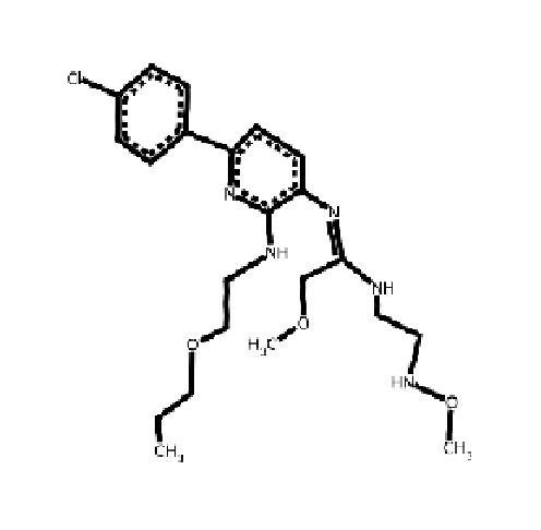 CCCOCCNc1nc(-c2ccc(Cl)cc2)ccc1/N=C(\COC)NCCNOC